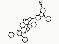 N#CC1CCC2C(C1)C1=CC(C3CCC4OC5CCC(C6=NC(C7=CCCCC7)CC(C7CC=CCC7)N6)CC5C5(C6C=CC=CC6C6CCCCC65)C4C3)CCC1N2C1CCCCC1